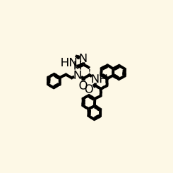 O=C(N[C@@H](Cc1c[nH]cn1)C(=O)NCCc1ccccc1)C(Cc1cccc2ccccc12)Cc1cccc2ccccc12